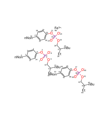 CCCCCCCCCc1ccc(OP(=O)([O-])OCC(CC)CCCC)cc1.CCCCCCCCCc1ccc(OP(=O)([O-])OCC(CC)CCCC)cc1.CCCCCCCCCc1ccc(OP(=O)([O-])OCC(CC)CCCC)cc1.[Fe+3]